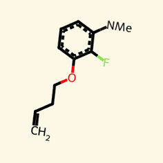 C=CCCOc1cccc(NC)c1F